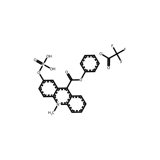 C[n+]1c2ccccc2c(C(=O)Oc2ccccc2)c2cc(OP(=O)(O)O)ccc21.O=C([O-])C(F)(F)F